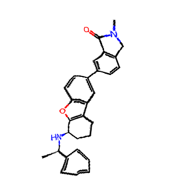 C[C@@H](N[C@@H]1CCCc2c1oc1ccc(-c3ccc4c(c3)C(=O)N(C)C4)cc21)c1ccccc1